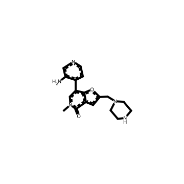 Cn1cc(-c2ccncc2N)c2oc(CN3CCNCC3)cc2c1=O